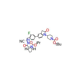 CC(C)OC(=O)N1[C@@H]2CC[C@@H](C2)[C@H]1C(=O)N[C@H](C#N)Cc1ccc(-c2ccc3c(c2)CC(=O)N3C2CCN(C(=O)OC(C)(C)C)CC2)cc1F